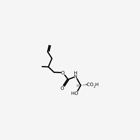 C=CCC(C)COC(=O)N[C@@H](O)C(=O)O